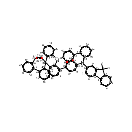 CC1(C)c2ccccc2-c2ccc(N(c3ccc(-c4cccc5c4Oc4ccccc4C54c5ccccc5-c5ccccc5-c5ccccc54)cc3)c3ccccc3-c3ccccc3)cc21